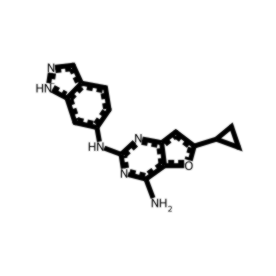 Nc1nc(Nc2ccc3cn[nH]c3c2)nc2cc(C3CC3)oc12